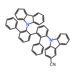 N#Cc1ccc2c(c1)c1ccccc1n2-c1cccc(-c2cccc(-c3ccccc3)c2-n2c3ccccc3c3ccccc32)c1-c1ccccc1